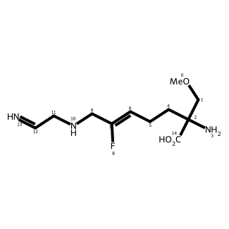 COCC(N)(CCC=C(F)CNCC=N)C(=O)O